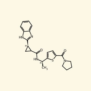 C[C@@H](NC(=O)C1C[C@H]1c1nc2ccccc2[nH]1)c1ccc(C(=O)N2CCCC2)s1